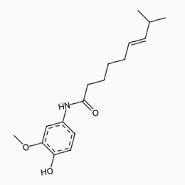 COc1cc(NC(=O)CCCC/C=C/C(C)C)ccc1O